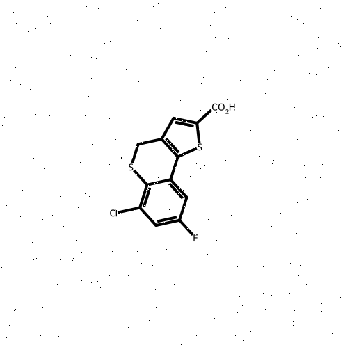 O=C(O)c1cc2c(s1)-c1cc(F)cc(Cl)c1SC2